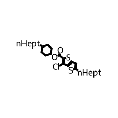 CCCCCCCc1cc2sc(C(=O)OC3CCC(CCCCCCC)CC3)c(Cl)c2s1